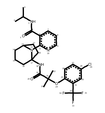 CC(C)NC(=O)c1cccnc1N1C2CCCC1(NC(=O)C(C)(C)Oc1ccc(Cl)cc1C(F)(F)F)CC2